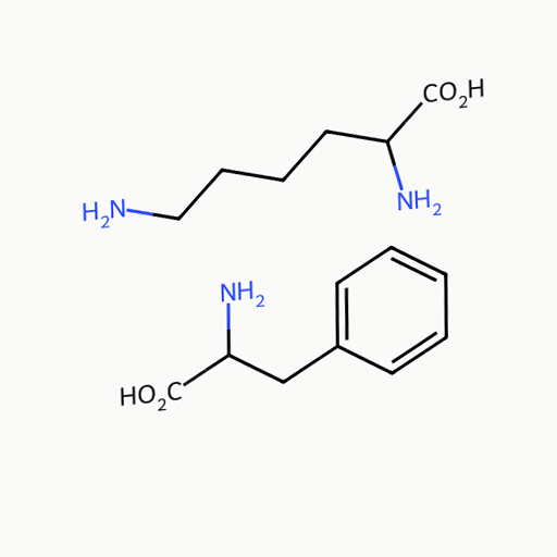 NC(Cc1ccccc1)C(=O)O.NCCCCC(N)C(=O)O